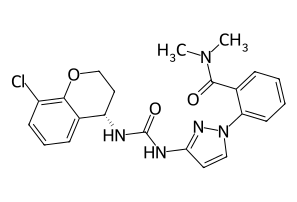 CN(C)C(=O)c1ccccc1-n1ccc(NC(=O)N[C@H]2CCOc3c(Cl)cccc32)n1